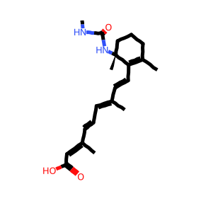 CNC(=O)N[C@]1(C)CCCC(C)=C1/C=C/C(C)=C/C=C/C(C)=C/C(=O)O